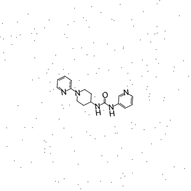 O=C(Nc1cccnc1)NC1CCN(c2ccccn2)CC1